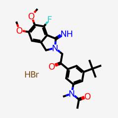 Br.COc1cc2c(c(F)c1OC)C(=N)N(CC(=O)c1cc(N(C)C(C)=O)cc(C(C)(C)C)c1)C2